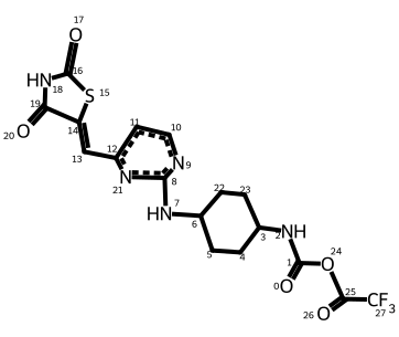 O=C(NC1CCC(Nc2nccc(/C=C3\SC(=O)NC3=O)n2)CC1)OC(=O)C(F)(F)F